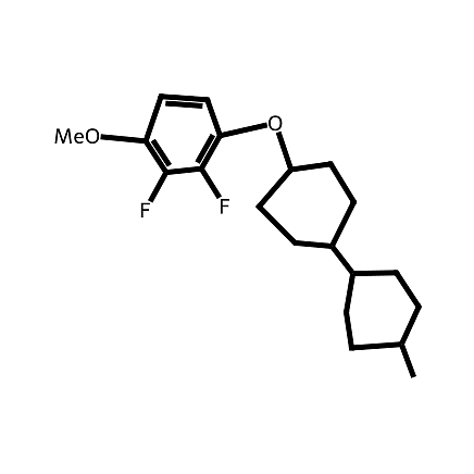 COc1ccc(OC2CCC(C3CCC(C)CC3)CC2)c(F)c1F